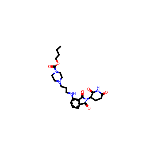 CCCCOC(=O)N1CCN(CCCNc2cccc3c2C(=O)N(C2CCC(=O)NC2=O)C3=O)CC1